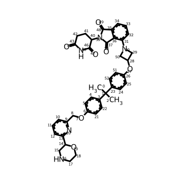 CC(C)(c1ccc(OCc2cccc(C3CNCCO3)n2)cc1)c1ccc(OC2CN(c3cccc4c3C(=O)N(C3CCC(=O)NC3=O)C4=O)C2)cc1